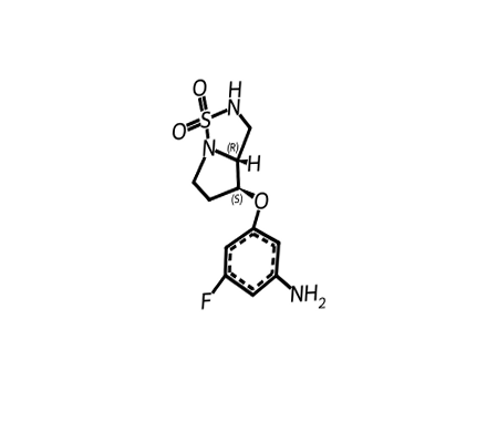 Nc1cc(F)cc(O[C@H]2CCN3[C@@H]2CNS3(=O)=O)c1